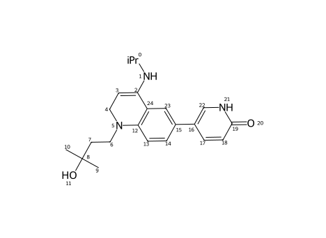 CC(C)NC1=CCN(CCC(C)(C)O)c2ccc(-c3ccc(=O)[nH]c3)cc21